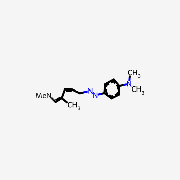 CN/C=C(C)\C=C/C/N=N/c1ccc(N(C)C)cc1